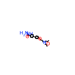 CC1CN(CCCOc2ccc(-c3ccc(C(=O)NN)cc3)cc2)CC(C)O1